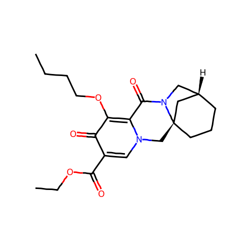 CCCCOc1c2n(cc(C(=O)OCC)c1=O)C[C@@]13CCC[C@@H](CN1C2=O)C3